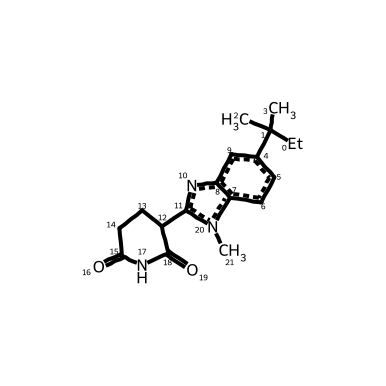 CCC(C)(C)c1ccc2c(c1)nc(C1CCC(=O)NC1=O)n2C